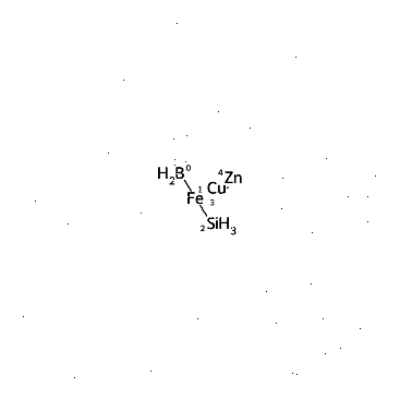 [BH2][Fe][SiH3].[Cu].[Zn]